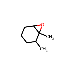 CC1CCCC2OC12C